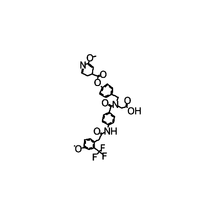 COC1=CC(C(=O)Oc2ccc(CN(CC(=O)O)C(=O)c3ccc(NC(=O)Cc4ccc(OC)cc4C(F)(F)F)cc3)cc2)CC=N1